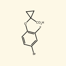 O=C(O)C1(Oc2ccc(Br)cc2F)CC1